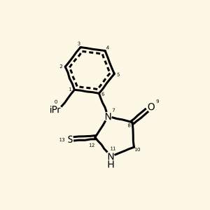 CC(C)c1ccccc1N1C(=O)CNC1=S